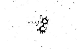 CCOC(=O)c1c(F)cccc1-c1ccncn1